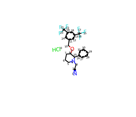 Cl.N#CCN1CCCC(OCc2cc(C(F)(F)F)cc(C(F)(F)F)c2)C1c1ccccc1